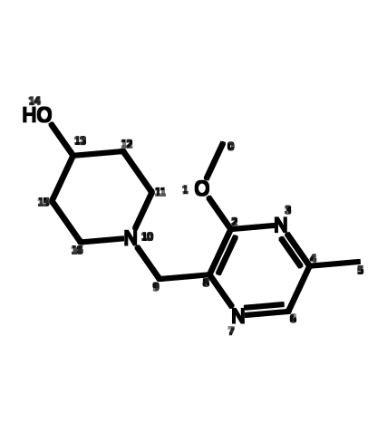 COc1nc(C)cnc1CN1CCC(O)CC1